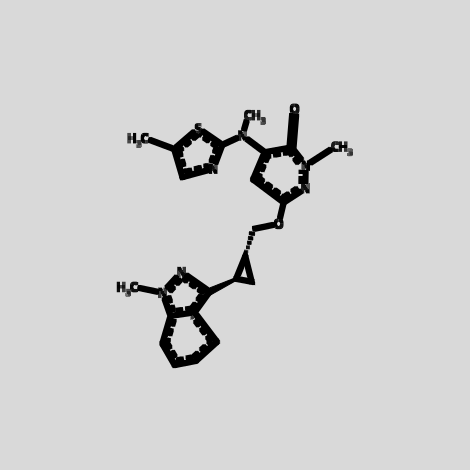 Cc1cnc(N(C)c2cc(OC[C@@H]3C[C@H]3c3nn(C)c4ccccc34)nn(C)c2=O)s1